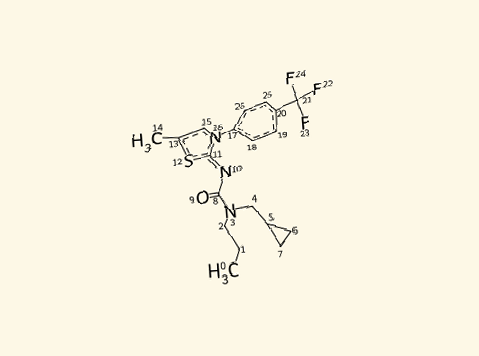 CCCN(CC1CC1)C(=O)/N=c1\sc(C)cn1-c1ccc(C(F)(F)F)cc1